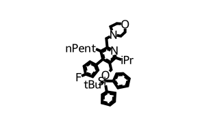 CCCCCc1c(CN2CCOCC2)nc(C(C)C)c(CO[Si](c2ccccc2)(c2ccccc2)C(C)(C)C)c1-c1ccc(F)cc1